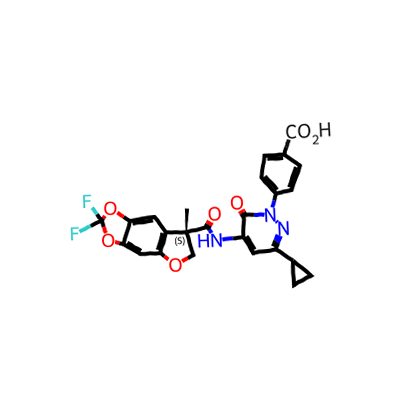 C[C@@]1(C(=O)Nc2cc(C3CC3)nn(-c3ccc(C(=O)O)cc3)c2=O)COc2cc3c(cc21)OC(F)(F)O3